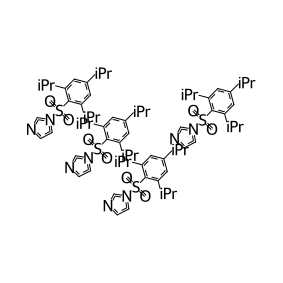 CC(C)c1cc(C(C)C)c(S(=O)(=O)n2ccnc2)c(C(C)C)c1.CC(C)c1cc(C(C)C)c(S(=O)(=O)n2ccnc2)c(C(C)C)c1.CC(C)c1cc(C(C)C)c(S(=O)(=O)n2ccnc2)c(C(C)C)c1.CC(C)c1cc(C(C)C)c(S(=O)(=O)n2ccnc2)c(C(C)C)c1